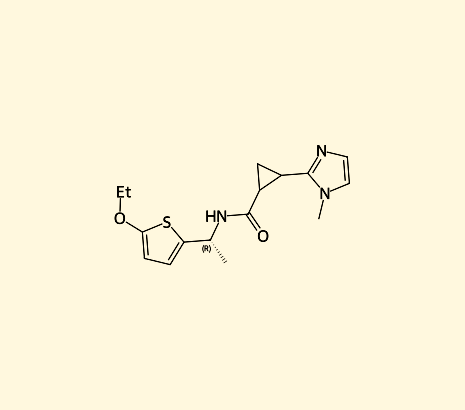 CCOc1ccc([C@@H](C)NC(=O)C2CC2c2nccn2C)s1